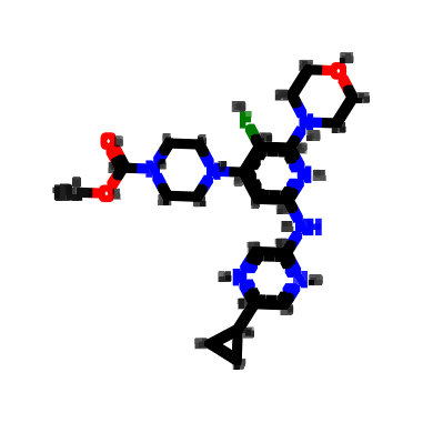 CC(C)(C)OC(=O)N1CCN(c2cc(Nc3cnc(C4CC4)cn3)nc(N3CCOCC3)c2F)CC1